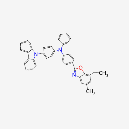 CCc1cc(C)cc2nc(-c3ccc(N(c4ccccc4)c4ccc(-n5c6ccccc6c6ccccc65)cc4)cc3)oc12